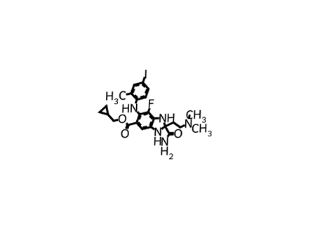 Cc1cc(I)ccc1Nc1c(C(=O)OCC2CC2)cc2c(c1F)NC(CCN(C)C)(C(N)=O)N2